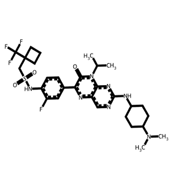 CC(C)n1c(=O)c(-c2ccc(NS(=O)(=O)CC3(C(F)(F)F)CCC3)c(F)c2)nc2cnc(NC3CCC(N(C)C)CC3)nc21